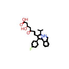 CC(C)c1c(C=CC(=O)CC(O)CC(=O)O)c(-c2ccc(F)cc2)c2c3ccccc3cnn12